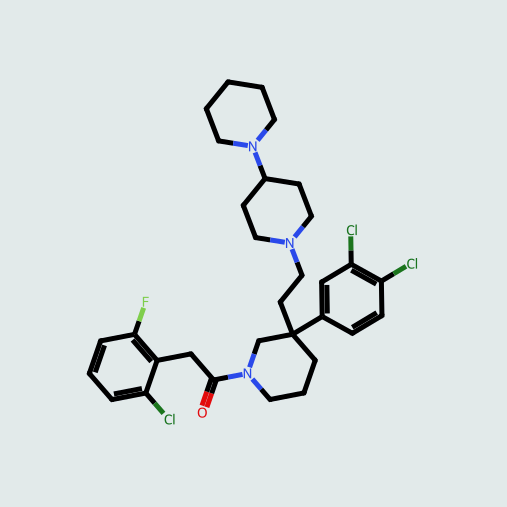 O=C(Cc1c(F)cccc1Cl)N1CCCC(CCN2CCC(N3CCCCC3)CC2)(c2ccc(Cl)c(Cl)c2)C1